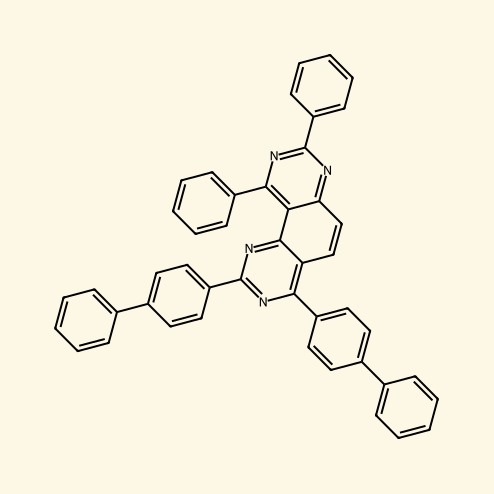 c1ccc(-c2ccc(-c3nc(-c4ccc(-c5ccccc5)cc4)c4ccc5nc(-c6ccccc6)nc(-c6ccccc6)c5c4n3)cc2)cc1